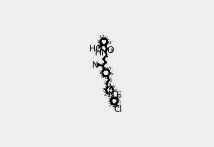 N#CC(CCCNC(=O)c1ccccc1O)C1CCC(CCN2CCN(c3ccc(Cl)cc3F)CC2)CC1